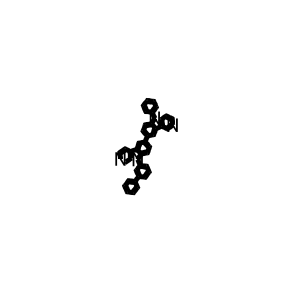 c1ccc(-c2cccc(-n3c4ccc(-c5ccc6c(c5)c5cnccc5n6-c5ccccc5)cc4c4ccncc43)c2)cc1